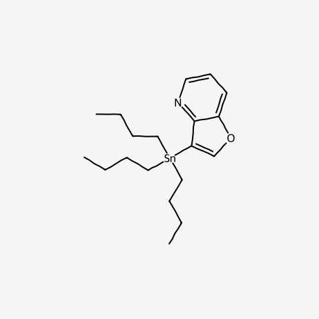 CCC[CH2][Sn]([CH2]CCC)([CH2]CCC)[c]1coc2cccnc12